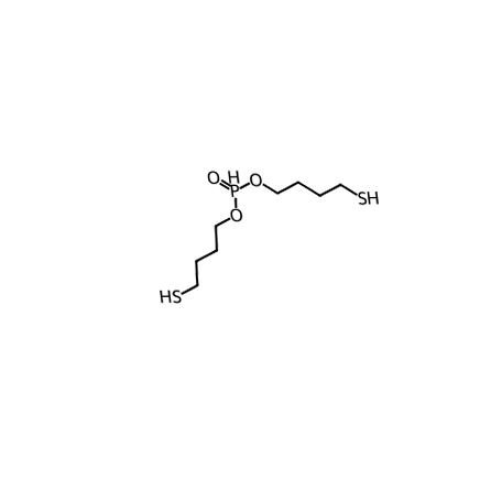 O=[PH](OCCCCS)OCCCCS